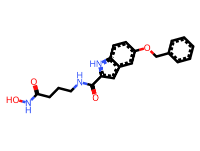 O=C(CCCNC(=O)c1cc2cc(OCc3ccccc3)ccc2[nH]1)NO